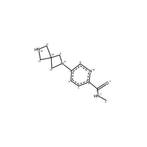 CNC(=O)c1ccc(N2CC3(CNC3)C2)cn1